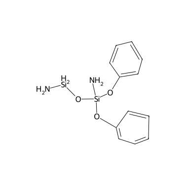 N[SiH2]O[Si](N)(Oc1ccccc1)Oc1ccccc1